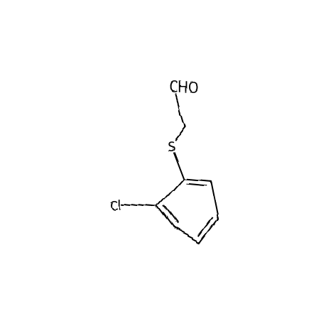 O=CCSc1ccccc1Cl